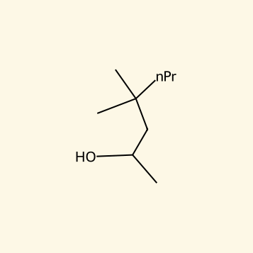 CCCC(C)(C)CC(C)O